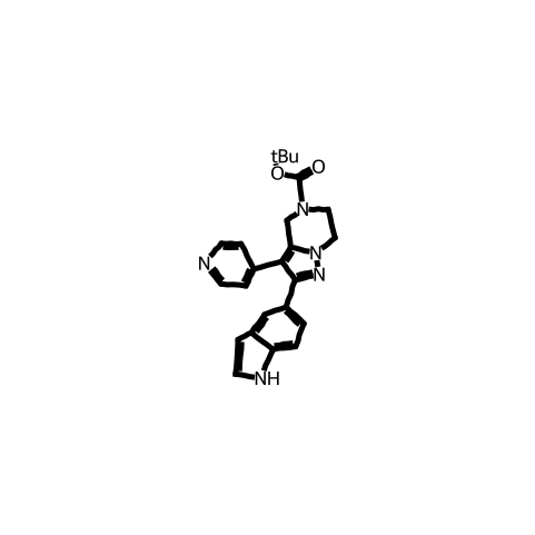 CC(C)(C)OC(=O)N1CCn2nc(-c3ccc4[nH]ccc4c3)c(-c3ccncc3)c2C1